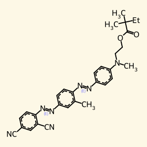 CCC(C)(C)C(=O)OCCN(C)c1ccc(/N=N/c2ccc(/N=N/c3ccc(C#N)cc3C#N)cc2C)cc1